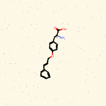 N[C@@H](Cc1ccc(OCC=Cc2ccccc2)cc1)C(=O)O